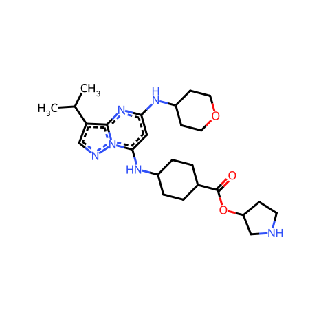 CC(C)c1cnn2c(NC3CCC(C(=O)OC4CCNC4)CC3)cc(NC3CCOCC3)nc12